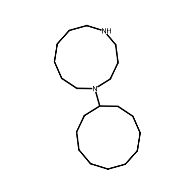 C1CCCCCC(N2CCCCCCNCCC2)CCCC1